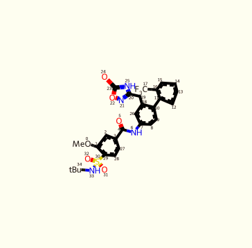 COc1cc(C(=O)Nc2ccc(-c3ccccc3C(F)(F)F)c(Cc3noc(=O)[nH]3)c2)ccc1S(=O)(=O)NC(C)(C)C